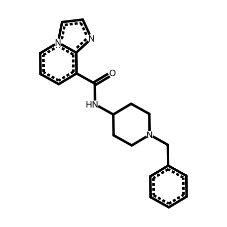 O=C(NC1CCN(Cc2ccccc2)CC1)c1cccn2ccnc12